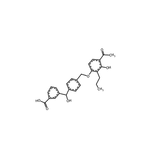 CCCc1c(OCc2ccc(C(O)c3cccc(C(=O)O)c3)cc2)ccc(C(C)=O)c1O